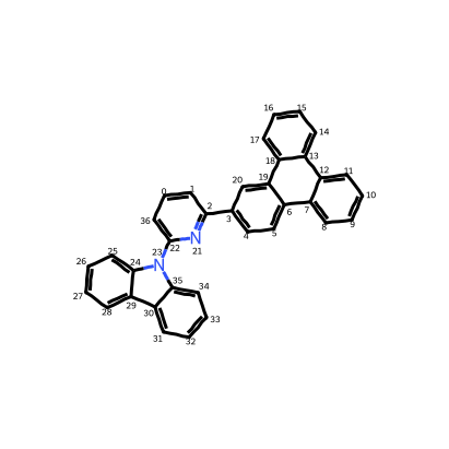 c1cc(-c2ccc3c4ccccc4c4ccccc4c3c2)nc(-n2c3ccccc3c3ccccc32)c1